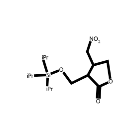 CC(C)[Si](OCC1C(=O)OCC1C[N+](=O)[O-])(C(C)C)C(C)C